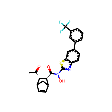 CC(=O)[C@H]1C2C=CC(C2)[C@H]1C(=O)N(O)c1nc2ccc(-c3cccc(C(F)(F)F)c3)cc2s1